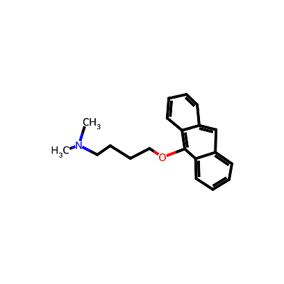 CN(C)CCCCOc1c2ccccc2cc2ccccc12